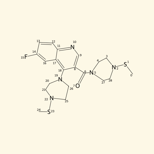 CSN1CCN(C(=O)c2cnc3ccc(F)cc3c2N2CCN(SC)CC2)CC1